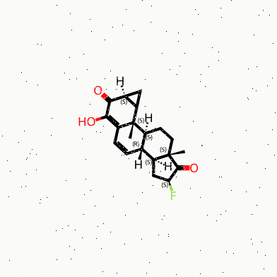 C[C@]12CC[C@H]3[C@@H](C=CC4=C(O)C(=O)[C@H]5CC5[C@@]43C)[C@@H]1C[C@H](F)C2=O